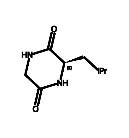 CC(C)C[C@@H]1NC(=O)CNC1=O